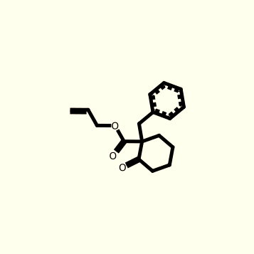 C=CCOC(=O)C1(Cc2ccccc2)CCCCC1=O